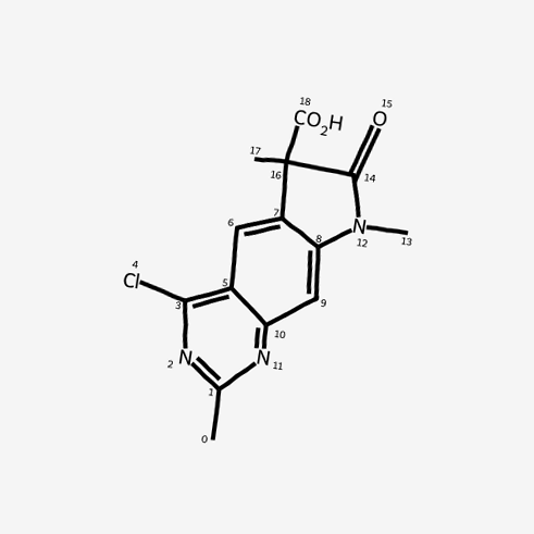 Cc1nc(Cl)c2cc3c(cc2n1)N(C)C(=O)C3(C)C(=O)O